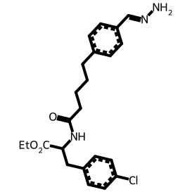 CCOC(=O)C(Cc1ccc(Cl)cc1)NC(=O)CCCCc1ccc(C=NN)cc1